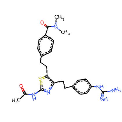 CC(=O)Nc1nc(CCc2ccc(NC(=N)N)cc2)c(CCc2ccc(C(=O)N(C)C)cc2)s1